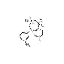 CC[C@@]1(C)C[C@H](c2cccc(N)c2)c2cc(F)ccc2S(=O)(=O)C1